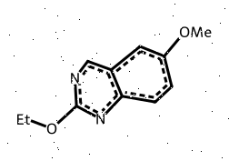 CCOc1ncc2cc(OC)ccc2n1